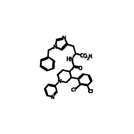 O=C(O)C(Cc1cn(Cc2ccccc2)cn1)NC(=O)C1CCN(c2cccnc2)CC1c1cccc(Cl)c1Cl